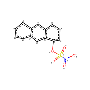 O=[N+]([O-])S(=O)(=O)Oc1cccc2cc3ccccc3cc12